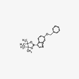 CC1(C)OB(c2cnn3cc(OCc4ccccc4)ccc23)OC1(C)C